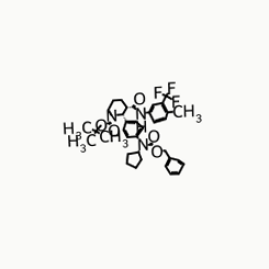 Cc1ccc(NC(=O)[C@H]2CCCN(C(=O)OC(C)(C)C)[C@H]2c2ccc(N(C(=O)OCc3ccccc3)C3CCCC3)cc2)cc1C(F)(F)F